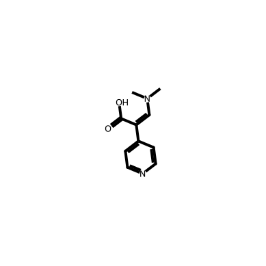 CN(C)C=C(C(=O)O)c1ccncc1